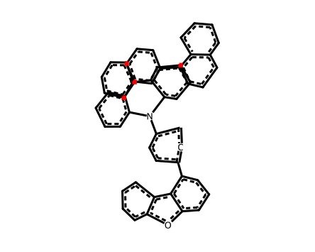 c1ccc(-c2ccccc2N(c2ccc(-c3cccc4oc5ccccc5c34)cc2)c2ccccc2-c2cccc(-c3cccc4ccccc34)c2)cc1